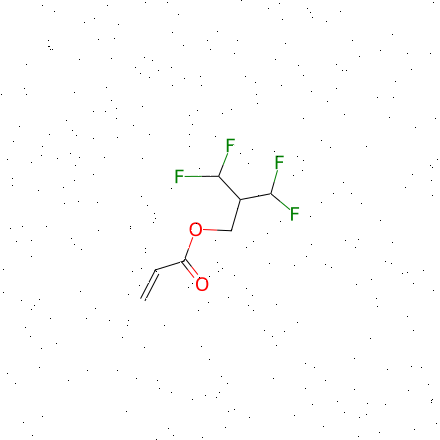 C=CC(=O)OCC(C(F)F)C(F)F